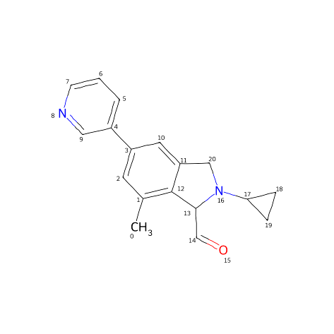 Cc1cc(-c2cccnc2)cc2c1C(C=O)N(C1CC1)C2